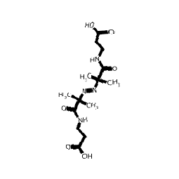 CC(C)(/N=N/C(C)(C)C(=O)NCCC(=O)O)C(=O)NCCC(=O)O